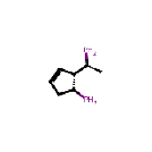 C[C@H](P)[C@H]1C=CCC1P